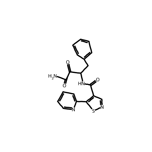 NC(=O)C(=O)C(Cc1ccccc1)NC(=O)c1cnsc1-c1ccccn1